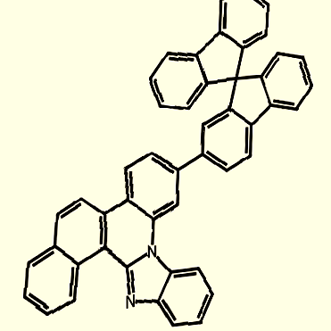 c1ccc2c(c1)-c1ccccc1C21c2ccccc2-c2ccc(-c3ccc4c5ccc6ccccc6c5c5nc6ccccc6n5c4c3)cc21